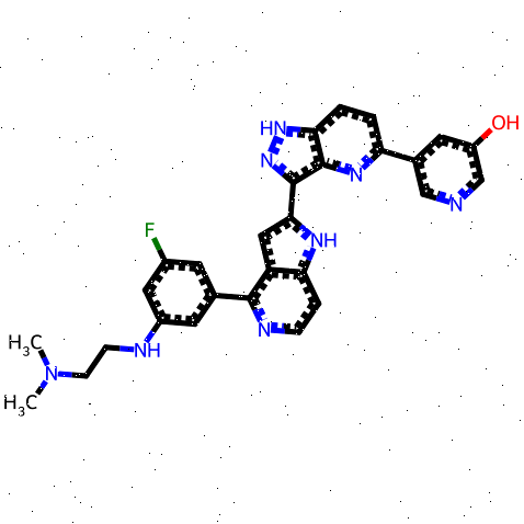 CN(C)CCNc1cc(F)cc(-c2nccc3[nH]c(-c4n[nH]c5ccc(-c6cncc(O)c6)nc45)cc23)c1